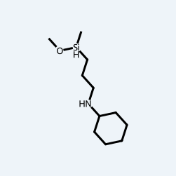 CO[SiH](C)CCCNC1CCCCC1